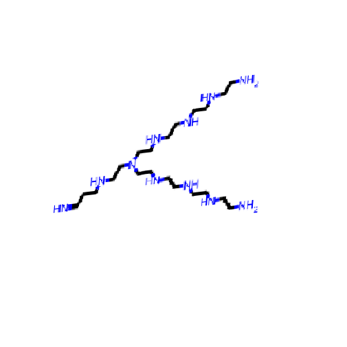 N=CCCNCCN(CCNCCNCCNCCN)CCNCCNCCNCCN